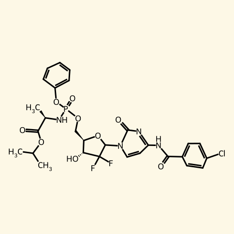 CC(C)OC(=O)[C@@H](C)NP(=O)(OC[C@H]1OC(n2ccc(NC(=O)c3ccc(Cl)cc3)nc2=O)C(F)(F)[C@@H]1O)Oc1ccccc1